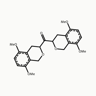 COc1ccc(OC)c2c1COC(C(=O)C1Cc3c(OC)ccc(OC)c3CO1)C2